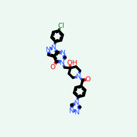 O=C(c1ccc(-n2cnnc2)cc1)N1CCC(O)(Cn2cnc3c(cnn3-c3ccc(Cl)cc3)c2=O)CC1